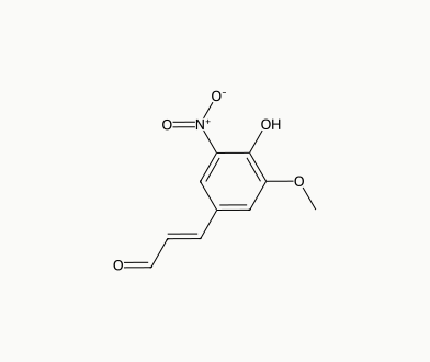 COc1cc(C=CC=O)cc([N+](=O)[O-])c1O